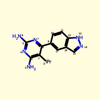 CC(C)c1c(N)nc(N)nc1-c1ccc2[nH]ncc2c1